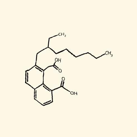 CCCCCCC(CC)Cc1ccc2cccc(C(=O)O)c2c1C(=O)O